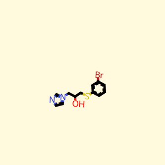 OC(CSc1cccc(Br)c1)Cn1ccnc1